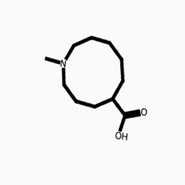 CN1CCCCCC(C(=O)O)CCC1